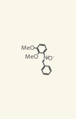 COc1cccc([N+]([O-])=Cc2ccccc2)c1OC